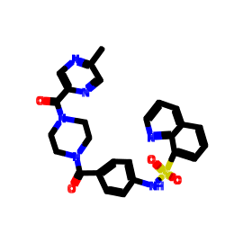 Cc1cnc(C(=O)N2CCN(C(=O)c3ccc(NS(=O)(=O)c4cccc5cccnc45)cc3)CC2)cn1